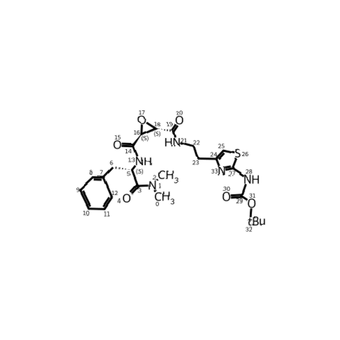 CN(C)C(=O)[C@H](Cc1ccccc1)NC(=O)[C@H]1O[C@@H]1C(=O)NCCc1csc(NC(=O)OC(C)(C)C)n1